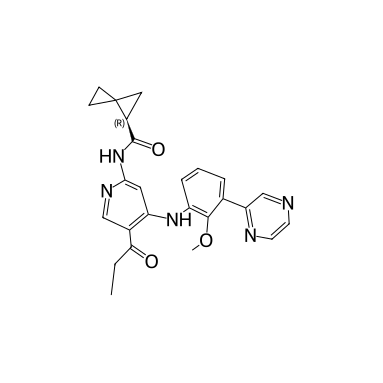 CCC(=O)c1cnc(NC(=O)[C@@H]2CC23CC3)cc1Nc1cccc(-c2cnccn2)c1OC